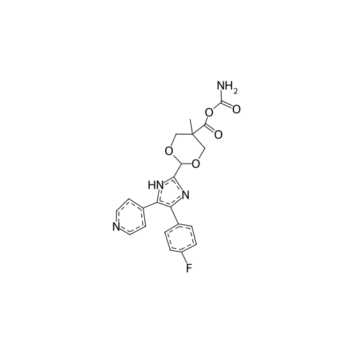 CC1(C(=O)OC(N)=O)COC(c2nc(-c3ccc(F)cc3)c(-c3ccncc3)[nH]2)OC1